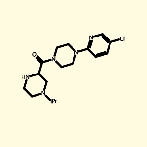 CC(C)N1CCNC(C(=O)N2CCN(c3ccc(Cl)cn3)CC2)C1